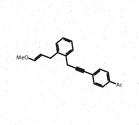 COC=CCc1ccccc1CC#Cc1ccc(C(C)=O)cc1